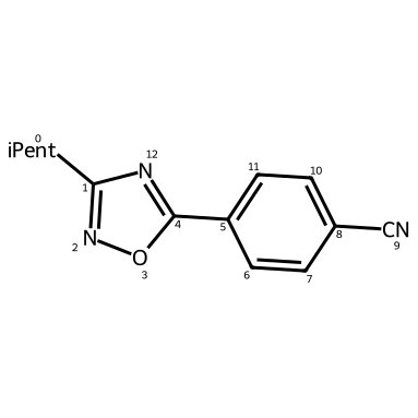 CCCC(C)c1noc(-c2ccc(C#N)cc2)n1